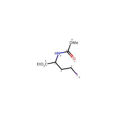 CCOC(=O)C(CCI)NC(=O)OC